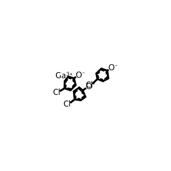 [Ga+3].[O-]c1ccc(Cl)cc1.[O-]c1ccc(Cl)cc1.[O-]c1ccc(Cl)cc1